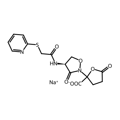 O=C(CSc1ccccn1)N[C@H]1CON(C2(C(=O)[O-])CCC(=O)O2)C1=O.[Na+]